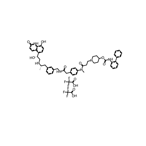 C[C@@H](Cc1cccc(CNC(=O)Cc2ccc(N(C)C(=O)CCN3CCC(OC(=O)Nc4ccccc4-c4ccccc4)CC3)cc2)c1)NC[C@H](O)c1ccc(O)c2[nH]c(=O)ccc12.O=C(O)C(F)(F)F.O=C(O)C(F)(F)F